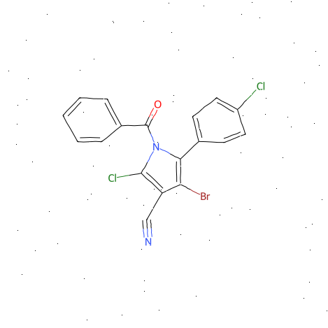 N#Cc1c(Br)c(-c2ccc(Cl)cc2)n(C(=O)c2ccccc2)c1Cl